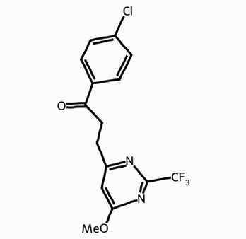 COc1cc(CCC(=O)c2ccc(Cl)cc2)nc(C(F)(F)F)n1